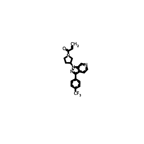 C=CC(=O)N1CCC(n2nc(-c3ccc(C(F)(F)F)cc3)c3ccncc32)C1